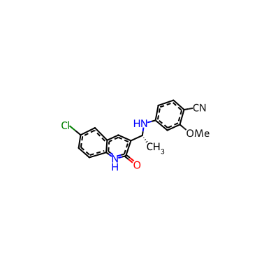 COc1cc(N[C@H](C)c2cc3cc(Cl)ccc3[nH]c2=O)ccc1C#N